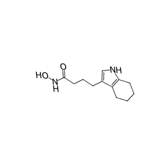 O=C(CCCc1c[nH]c2c1CCCC2)NO